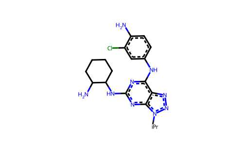 CC(C)n1nnc2c(Nc3ccc(N)c(Cl)c3)nc(NC3CCCCC3N)nc21